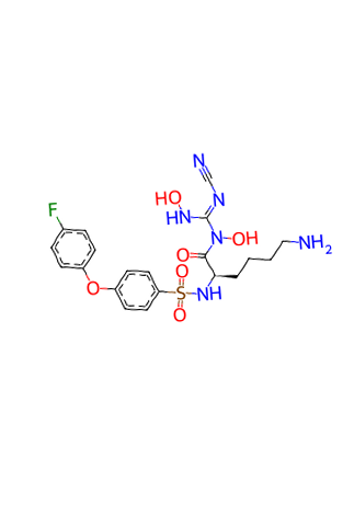 N#C/N=C(\NO)N(O)C(=O)[C@@H](CCCCN)NS(=O)(=O)c1ccc(Oc2ccc(F)cc2)cc1